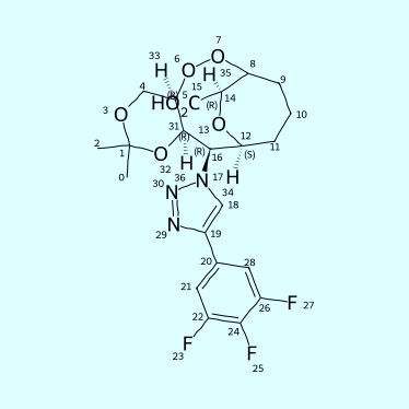 CC1(C)OC[C@H]2OOC3CCC[C@H](O[C@H]3C(=O)O)[C@@H](n3cc(-c4cc(F)c(F)c(F)c4)nn3)[C@H]2O1